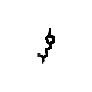 FC(F)CCCc1ccc(I)cc1